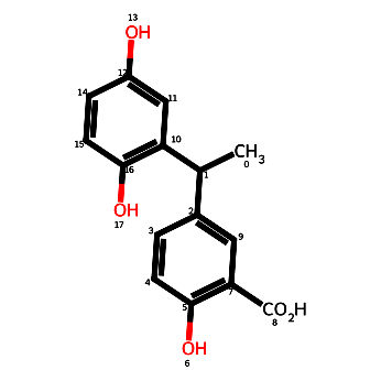 CC(c1ccc(O)c(C(=O)O)c1)c1cc(O)ccc1O